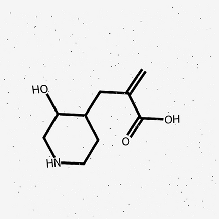 C=C(CC1CCNCC1O)C(=O)O